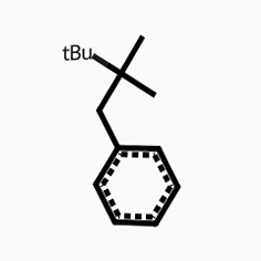 CC(C)(C)C(C)(C)Cc1ccccc1